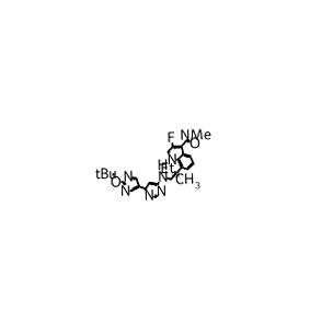 CC[C@](C)(CNc1cc(-c2cnc(OC(C)(C)C)nc2)ncn1)c1cccc2c(C(=O)NC)c(F)cnc12